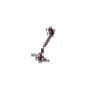 COc1cc(Nc2c(C#N)cnc3cc(OCCCN4CCN(CCCCCCOCCOCCOCCOCCOCCOCC(=O)Nc5cccc6c5C(=O)N(C5CCC(=O)NC5=O)C6=O)CC4)c(OC)cc23)c(Cl)cc1Cl